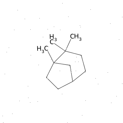 CC1(C)CCC2CCC1(C)C2